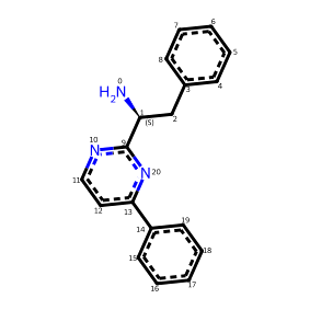 N[C@@H](Cc1ccccc1)c1nccc(-c2ccccc2)n1